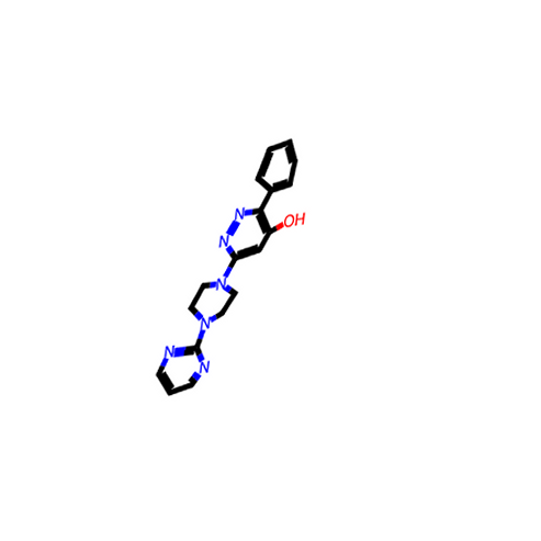 Oc1cc(N2CCN(c3ncccn3)CC2)nnc1-c1ccccc1